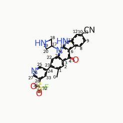 Cc1cc2c(=O)c3c4ccc(C#N)cc4[nH]c3n(C3CNC3)c2cc1-c1cncc(S(=O)(=O)F)c1